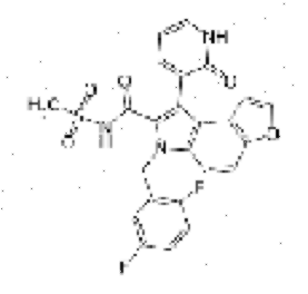 CS(=O)(=O)NC(=O)c1c(-c2ccc[nH]c2=O)c2c3ccoc3ccc2n1Cc1cc(F)ccc1F